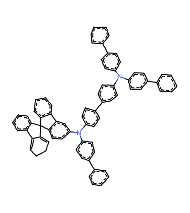 C1=C2C(=CCC1)C1(c3ccccc32)c2ccccc2-c2cc(N(c3ccc(-c4ccccc4)cc3)c3ccc(-c4ccc(N(c5ccc(-c6ccccc6)cc5)c5ccc(-c6ccccc6)cc5)cc4)cc3)ccc21